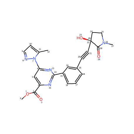 COC(=O)c1cc(-n2nccc2C)nc(-c2cccc(C#C[C@]3(O)CCN(C)C3=O)c2)n1